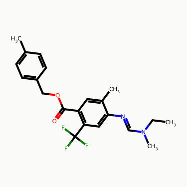 CCN(C)/C=N/c1cc(C(F)(F)F)c(C(=O)OCc2ccc(C)cc2)cc1C